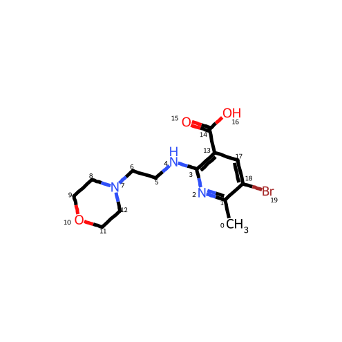 Cc1nc(NCCN2CCOCC2)c(C(=O)O)cc1Br